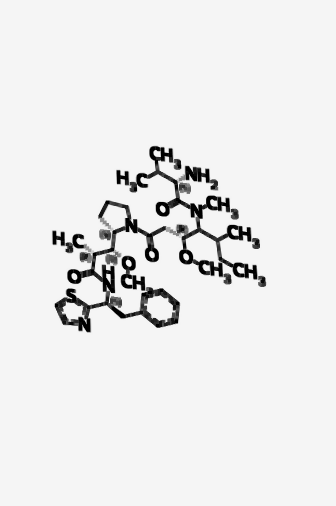 CCC(C)C([C@@H](CC(=O)N1CCC[C@H]1[C@H](OC)[C@@H](C)C(=O)N[C@@H](Cc1ccccc1)c1nccs1)OC)N(C)C(=O)[C@@H](N)C(C)C